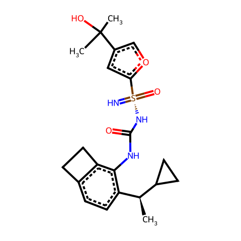 C[C@@H](c1ccc2c(c1NC(=O)N[S@@](=N)(=O)c1cc(C(C)(C)O)co1)CC2)C1CC1